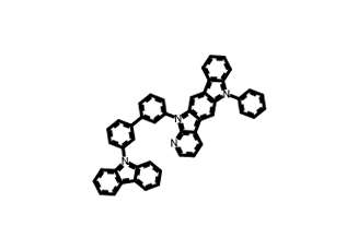 c1ccc(-n2c3ccccc3c3cc4c(cc32)c2cccnc2n4-c2cccc(-c3cccc(-n4c5ccccc5c5ccccc54)c3)c2)cc1